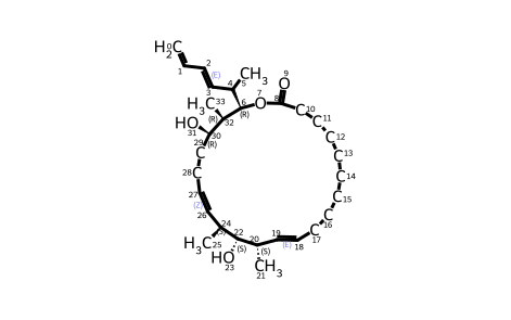 C=C/C=C/C(C)[C@H]1OC(=O)CCCCCCCC/C=C/[C@H](C)[C@H](O)[C@@H](C)/C=C\CC[C@@H](O)[C@H]1C